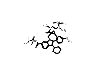 CC[C@H](CN(C)CC)N(C)C(=O)C12CC1c1cc(OC)ccc1-c1c(C3CCCCC3)c3ccc(C(=O)NS(=O)(=O)NC)cc3n1C2